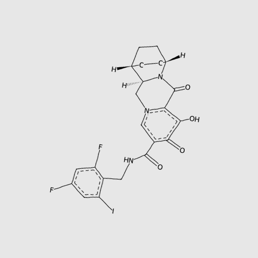 O=C(NCc1c(F)cc(F)cc1I)c1cn2c(c(O)c1=O)C(=O)N1[C@H]3CC[C@H](CC3)[C@@H]1C2